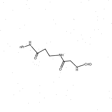 CCCNC(=O)CCNC(=O)CN[C]=O